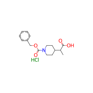 CC(C(=O)O)C1CCN(C(=O)OCc2ccccc2)CC1.Cl